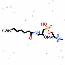 CCCCCCCCCCCCCCCC(=O)NCC(CP(=O)(O)OCC[N+](C)(C)C)OC